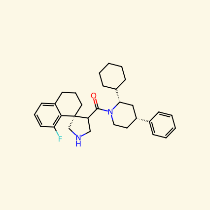 O=C(C1CNC[C@]12CCCc1cccc(F)c12)N1CC[C@@H](c2ccccc2)C[C@H]1C1CCCCC1